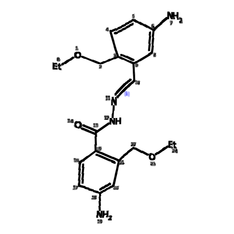 CCOCc1ccc(N)cc1/C=N/NC(=O)c1ccc(N)cc1COCC